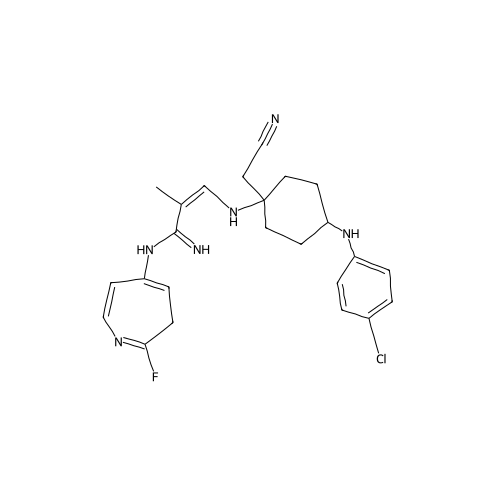 C/C(=C/NC1(CC#N)CCC(Nc2ccc(Cl)cc2)CC1)C(=N)NC1=CCC(F)=NC=C1